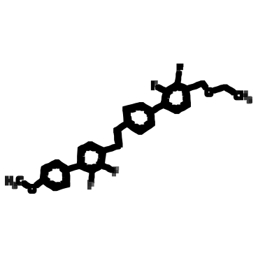 CCOCc1ccc(-c2ccc(/C=C/c3ccc(-c4ccc(OC)cc4)c(F)c3F)cc2)c(F)c1F